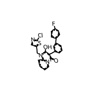 O=c1c(-c2cccc(-c3ccc(F)cc3)c2)c(O)n(Cc2cnc(Cl)s2)c2cccc[n+]12